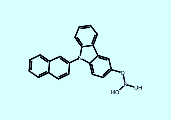 OB(O)Oc1ccc2c(c1)c1ccccc1n2-c1ccc2ccccc2c1